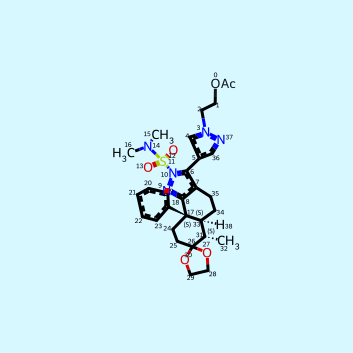 CC(=O)OCCn1cc(-c2c3c(nn2S(=O)(=O)N(C)C)[C@@]2(c4ccccc4)CCC4(OCCO4)[C@@H](C)[C@@H]2CC3)cn1